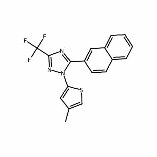 Cc1csc(-n2nc(C(F)(F)F)nc2-c2ccc3ccccc3c2)c1